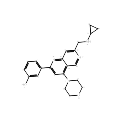 Oc1cccc(-c2cc(N3CCOCC3)c3cnc(CNC4CC4)cc3n2)c1